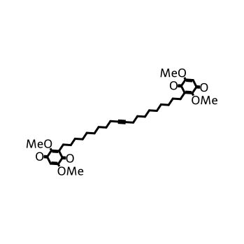 COC1=CC(=O)C(OC)=C(CCCCCCCCCC#CCCCCCCCCCC2=C(OC)C(=O)C=C(OC)C2=O)C1=O